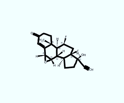 C#C[C@]1(O)CC[C@H]2[C@@H]3[C@@H]4O[C@@H]4C4=CC(=O)CC[C@]4(C)[C@H]3[C@@H](F)C[C@@]21C